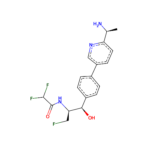 C[C@H](N)c1ccc(-c2ccc([C@@H](O)[C@@H](CF)NC(=O)C(F)F)cc2)cn1